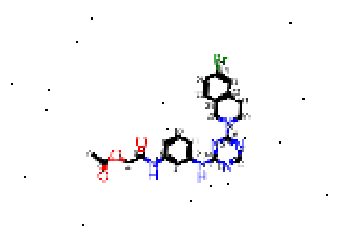 CC(=O)OCC(=O)Nc1cccc(Nc2ncnc(N3CCc4cc(Br)ccc4C3)n2)c1